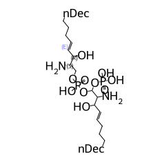 CCCCCCCCCCCCCC=CC(O)C(N)C(OP(=O)(O)O)OP(=O)(O)OC[C@H](N)[C@H](O)/C=C/CCCCCCCCCCCCC